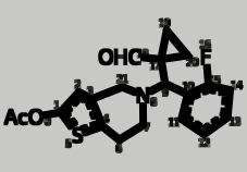 CC(=O)Oc1cc2c(s1)CCN(C(c1ccccc1F)C1(C=O)CC1)C2